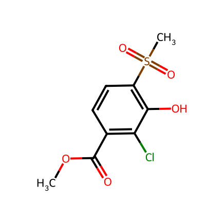 COC(=O)c1ccc(S(C)(=O)=O)c(O)c1Cl